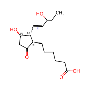 CCC(O)/C=C/[C@H]1[C@H](O)CC(=O)[C@@H]1CCCCCC(=O)O